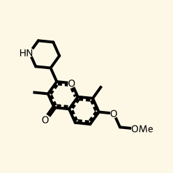 COCOc1ccc2c(=O)c(C)c(C3CCCNC3)oc2c1C